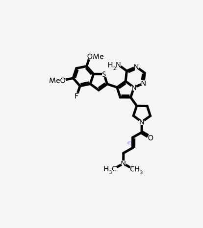 COc1cc(OC)c2sc(-c3cc(C4CCN(C(=O)/C=C/CN(C)C)C4)n4ncnc(N)c34)cc2c1F